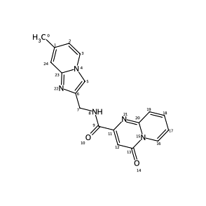 Cc1ccn2cc(CNC(=O)c3cc(=O)n4ccccc4n3)nc2c1